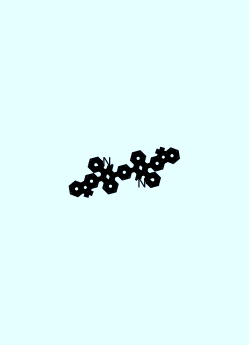 CC1(C)c2ccccc2-c2ccc(-c3c4ccccc4c(-c4ccc(-c5c6ccccc6c(-c6ccc7c(c6)C(C)(C)c6ccccc6-7)c6c5cnc5ccccc56)cc4)c4cnc5ccccc5c34)cc21